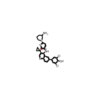 NC1CCCN(c2ccc(Nc3c(C4(C=O)CC4)cnc4ccc(-c5cc(Cl)c(O)c(Cl)c5)cc34)cn2)C1